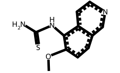 COc1ccc2cnccc2c1NC(N)=S